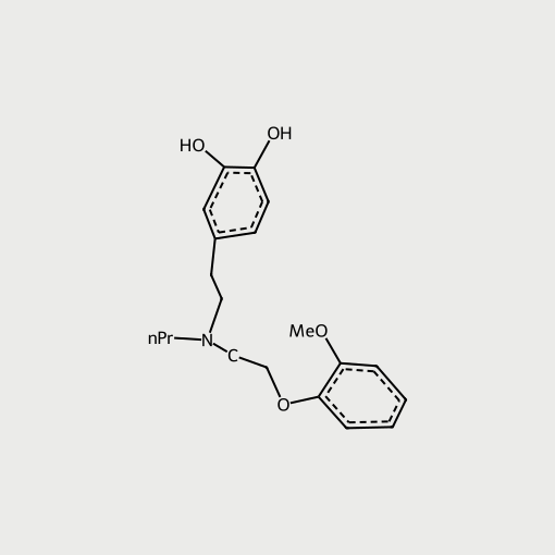 CCCN(CCOc1ccccc1OC)CCc1ccc(O)c(O)c1